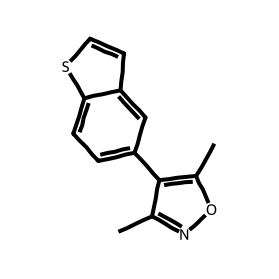 Cc1noc(C)c1-c1ccc2sccc2c1